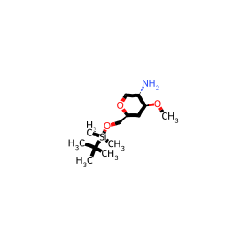 CO[C@H]1C[C@@H](CO[Si](C)(C)C(C)(C)C)OC[C@@H]1N